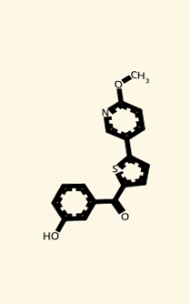 COc1ccc(-c2ccc(C(=O)c3cccc(O)c3)s2)cn1